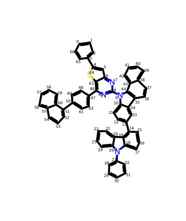 c1ccc(-c2cc3nc(-n4c5ccc(-c6cccc7c6c6ccccc6n7-c6ccccc6)cc5c5ccc6ccccc6c54)nc(-c4ccc(-c5cccc6ccccc56)cc4)c3s2)cc1